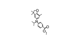 CCOC(=O)c1ccc(N(c2cc(C)c3c(c2)C(C)(C)CO3)C(C)C)cc1